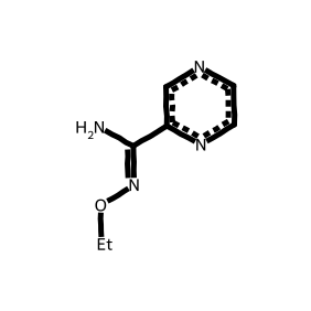 CCON=C(N)c1cnccn1